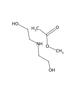 COC(C)=O.OCCNCCO